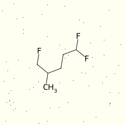 CC(CF)CCC(F)F